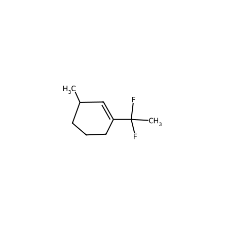 CC1C=C(C(C)(F)F)CCC1